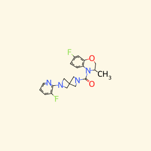 CC1COc2cc(F)ccc2N1C(=O)N1CC2(C1)CN(c1ncccc1F)C2